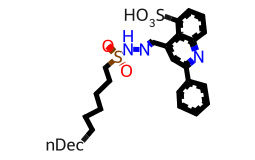 CCCCCCCCCCCCCCCCS(=O)(=O)NN=Cc1cc(-c2ccccc2)nc2cccc(S(=O)(=O)O)c12